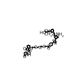 CC(C)(O)C#Cc1cccc(COc2cc(-c3cnc(C4CCN(C(=O)CCOCCOCCOCCOc5cccc6c5C(=O)N(C5CCC(=O)NC5=O)C6=O)CC4)s3)cnc2N)c1